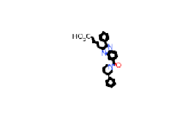 O=C(O)CCCCc1nc2cc(C(=O)N3CCC[C@H](c4ccccc4)C3)ccc2nc1-c1ccccc1